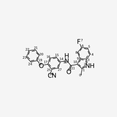 Cc1[nH]c2ccc(F)cc2c1C(=O)Nc1ccc(Oc2ccccc2)c(C#N)c1